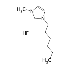 CCCCCCN1C=CN(C)C1.F